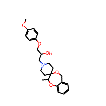 COc1ccc(OCC(O)CN2CCC3(CC2)OCc2ccccc2OC3C)cc1